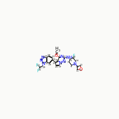 COc1nc(N[C@@H]2CCN(C3COC3)C[C@@H]2F)nn2ccc(-c3ccc4nnn(CC(F)F)c4c3)c12